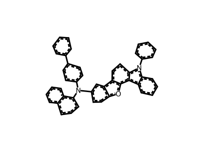 c1ccc(-c2ccc(N(c3ccc4oc5c(ccc6c5c5ccccc5n6-c5ccccc5)c4c3)c3cccc4ccccc34)cc2)cc1